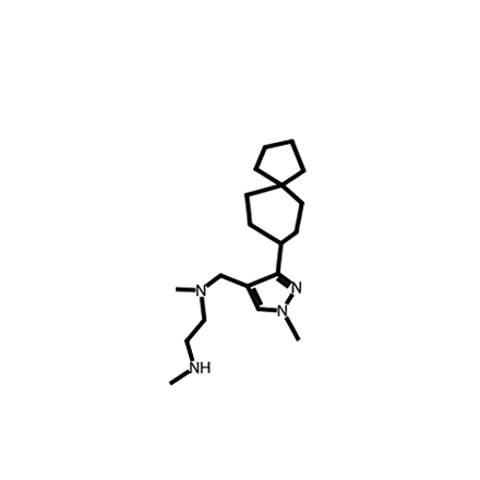 CNCCN(C)Cc1cn(C)nc1C1CCC2(CCCC2)CC1